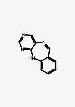 C1=Nc2cncnc2Nc2ccccc21